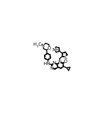 CN1CCOC(c2ccc(Nc3ncc4cc(C5CC5)c(=O)n(Cc5sccc5C5CCNC5)c4n3)cc2)C1